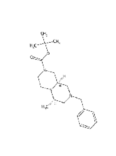 C[C@H]1CN(Cc2ccccc2)C[C@@H]2CN(C(=O)OC(C)(C)C)CCN21